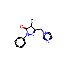 CC1C(=O)N(c2ccccc2)N=C1Cn1ccnc1